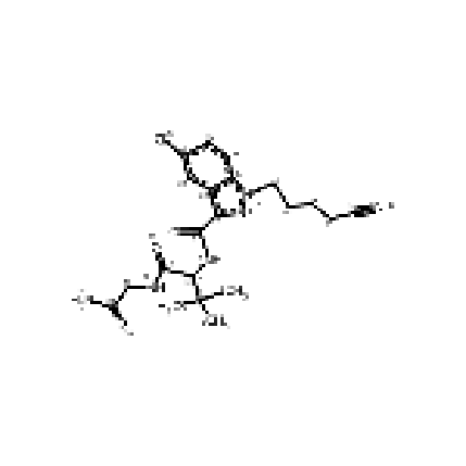 CC(C)(C)[C@H](NC(=O)c1nn(CCCCC#N)c2ccc(Cl)cc12)C(=O)NCC(N)=O